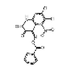 O=C1Nc2cc(Cl)c(Cl)c([N+](=O)[O-])c2C(=NOC(=O)c2ccccc2)C1=O